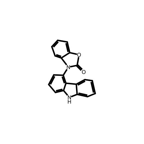 O=c1oc2ccccc2n1-c1cccc2[nH]c3ccccc3c12